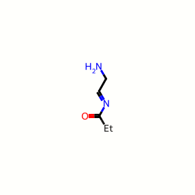 CCC(=O)N=CCN